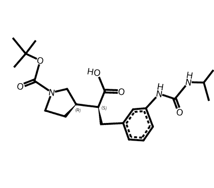 CC(C)NC(=O)Nc1cccc(C[C@H](C(=O)O)[C@H]2CCN(C(=O)OC(C)(C)C)C2)c1